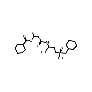 CC(OC(=O)NC(O)CCP(=O)(O)CC1CCCCC1)OC(=O)C1CCCCC1